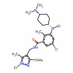 CCn1nc(OC)c(CNC(=O)c2cc(Cl)cc(N(CC)[C@H]3CC[C@H](N(C)C)CC3)c2C)c1C